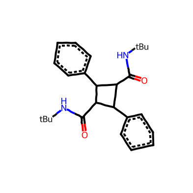 CC(C)(C)NC(=O)C1C(c2ccccc2)C(C(=O)NC(C)(C)C)C1c1ccccc1